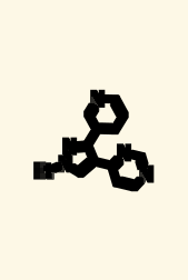 CCn1cc(-c2ccncn2)c(-c2cccnc2)n1